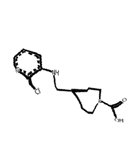 O=C(O)N1CCC(CNc2cccnc2Cl)CC1